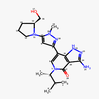 CC(C)[C@H](C)n1cc(-c2cc(N3CCC[C@H]3CO)n(C)n2)c2[nH]nc(N)c2c1=O